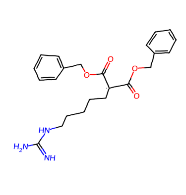 N=C(N)NCCCCC[C](C(=O)OCc1ccccc1)C(=O)OCc1ccccc1